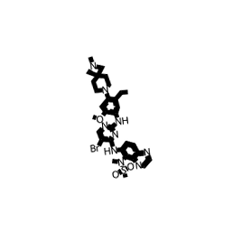 CCc1cc(Nc2ncc(Br)c(Nc3ccc4nccnc4c3N(C)S(C)(=O)=O)n2)c(OC)cc1N1CCC2(CC1)CN(C)C2